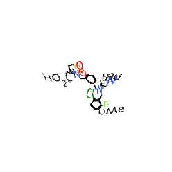 COc1ccc(Cl)c(CN(Cc2cccc(CN3[C@H](C(=O)O)CCS3(=O)=O)c2)[C@H](CN(C)C)CC(C)(C)C)c1F